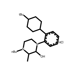 CCCCN1CCN(c2ccccc2C2CCC(C(C)(C)C)CC2)C(O)C1C.Cl